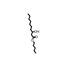 CCCCCCCC(O)CC(=O)OCCCCC